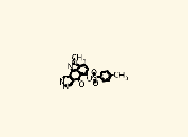 Cc1ccc(S(=O)(=O)Oc2ccc3c4c(nn3C)-c3cnncc3C(=O)c24)cc1